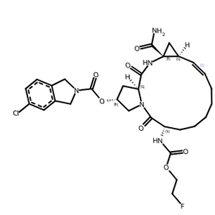 NC(=O)[C@@]12C[C@H]1/C=C\CCCCC[C@H](NC(=O)OCCF)C(=O)N1C[C@H](OC(=O)N3Cc4ccc(Cl)cc4C3)C[C@H]1C(=O)N2